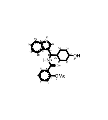 COc1ccccc1C(=O)NC(c1csc2ccccc12)C1CCC(O)CC1